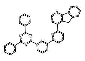 c1ccc(-c2nc(-c3ccccc3)nc(-c3cccc(-c4cccc(-c5ncnc6c5Cc5ccccc5-6)n4)n3)n2)cc1